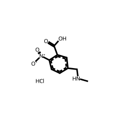 CNCc1ccc([N+](=O)[O-])c(C(=O)O)c1.Cl